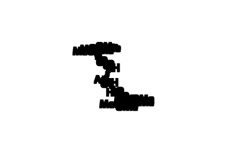 CO[Si](CCCN(CCC[Si](OC)(OC)OC)CCC(=O)CCOC(=O)NCCCCCCNC(=O)N(CCCCCCNC(=O)OCCOC(=O)CCN(CCC[Si](OC)(OC)OC)CCC[Si](OC)(OC)OC)C(C)=O)(OC)OC